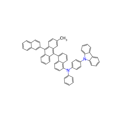 Cc1ccc2c(-c3ccc4ccccc4c3)c3ccccc3c(-c3cccc4c(N(c5ccccc5)c5ccc(-n6c7ccccc7c7ccccc76)cc5)cccc34)c2c1